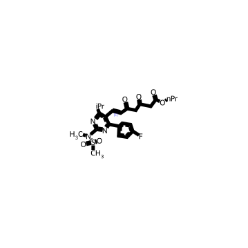 CCCOC(=O)CC(=O)CC(=O)/C=C/c1c(-c2ccc(F)cc2)nc(N(C)S(C)(=O)=O)nc1C(C)C